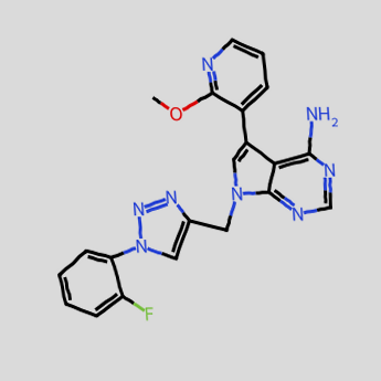 COc1ncccc1-c1cn(Cc2cn(-c3ccccc3F)nn2)c2ncnc(N)c12